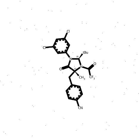 CC(C)(C)[C@@H]1N(c2cc(Cl)cc(Cl)c2)C(=O)[C@@](C)(Cc2ccc(C#N)cc2)N1C(=O)C(F)(F)F